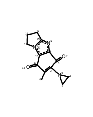 CC1=C(N2CC2)C(=O)c2nc3n(c2C1=O)CCC3